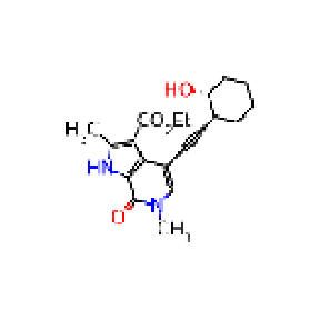 CCOC(=O)c1c(C)[nH]c2c(=O)n(C)cc(C#C[C@@H]3CCCC[C@H]3O)c12